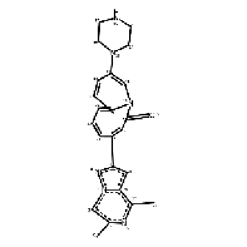 Cc1cn2nc(C3=C\C(=O)N4C=C(N5CCNCC5)C=C\C4=C/C=C/3)cc2c(C)n1